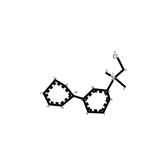 C[Si](C)(CCl)c1cccc(-c2ccccc2)c1